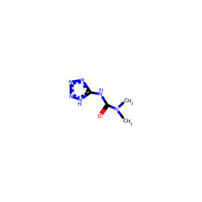 CN(C)C(=O)Nc1nnn[nH]1